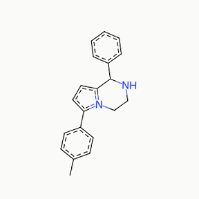 Cc1ccc(-c2ccc3n2CCNC3c2ccccc2)cc1